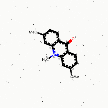 COc1ccc2c(=O)c3ccc(OC)cc3n(C)c2c1